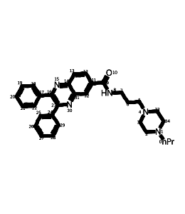 CCCN1CCN(CCCNC(=O)c2ccc3nc(-c4ccccc4)c(-c4ccccc4)nc3c2)CC1